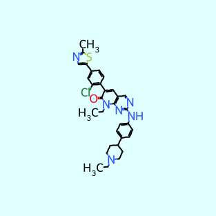 CCN1CCC(c2ccc(Nc3ncc4cc(-c5ccc(-c6cnc(C)s6)cc5Cl)c(=O)n(CC)c4n3)cc2)CC1